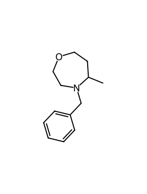 CC1CCOCCN1Cc1ccccc1